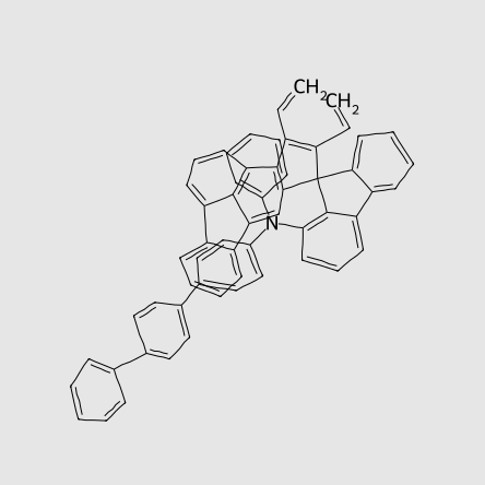 C=CC1=C(C=C)C2(c3ccccc3-c3cccc(N(c4ccccc4)c4ccc(-c5ccc(-c6ccccc6)cc5)cc4)c32)c2cc3c4c(cccc4c21)-c1ccccc1-3